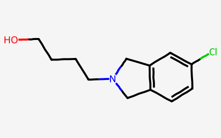 OCCCCN1Cc2ccc(Cl)cc2C1